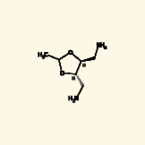 CC1O[C@@H](CN)[C@H](CN)O1